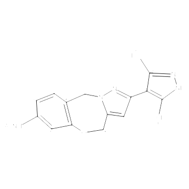 CC(=O)Nc1ccc2c(c1)OCc1cc(-c3c(C)n[nH]c3C)nn1C2